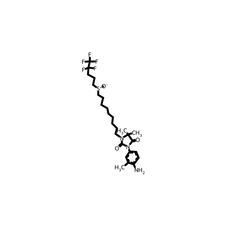 Cc1cc(N2C(=O)N(CCCCCCCCC[S+]([O-])CCCC(F)(F)C(F)(F)F)C(C)(C)C2=O)ccc1N